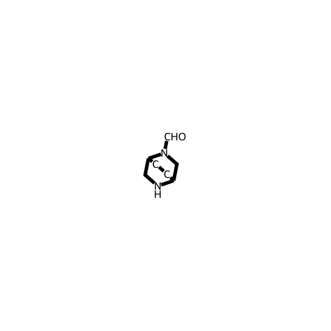 O=CN1CC2CCC1CN2